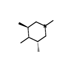 CC1[C@@H](C)CN(C)C[C@@H]1C